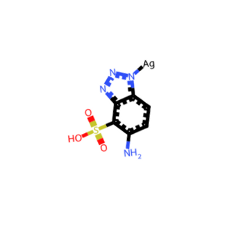 Nc1ccc2c(nn[n]2[Ag])c1S(=O)(=O)O